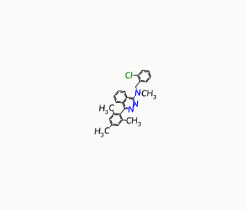 Cc1cc(C)c(-c2nnc(N(C)Cc3ccccc3Cl)c3ccccc23)c(C)c1